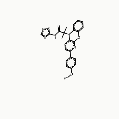 CC(C)Oc1ccc(-c2ccc3c(n2)Oc2ccccc2[C@@H]3C(C)(C)C(=O)Nc2ncns2)cc1